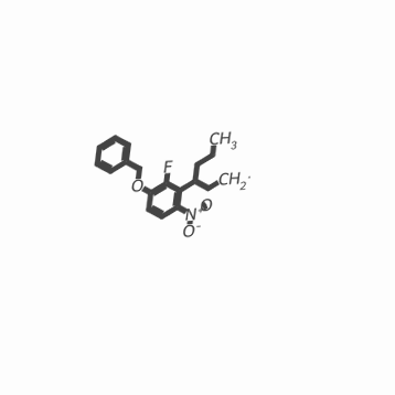 [CH2]CC(CCC)c1c([N+](=O)[O-])ccc(OCc2ccccc2)c1F